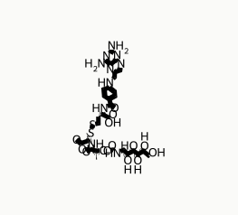 C[C@@H](CCC(=O)NC[C@H](O)[C@@H](O)[C@H](O)[C@H](O)CO)C(=O)N[C@@H](CSSCC[C@H](NC(=O)c1ccc(NCc2cnc3nc(N)nc(N)c3n2)cc1)C(=O)O)C(=O)O